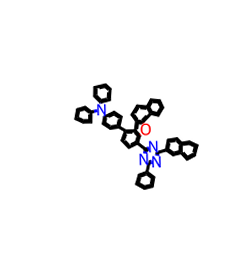 c1ccc(-c2nc(-c3ccc4ccccc4c3)nc(-c3ccc(-c4ccc(N(c5ccccc5)c5ccccc5)cc4)c4c3oc3c5ccccc5ccc34)n2)cc1